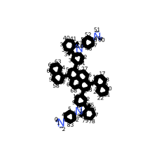 CN(C)c1ccc(N2c3ccc(-c4cc(-c5cccc6ccccc56)c5ccc6c(-c7ccc8c(c7)C7(C)CCCCC7(C)N8c7ccc(N(C)C)cc7)cc(-c7cccc8ccccc78)c7ccc4c5c67)cc3C3(C)CCCCC23C)cc1